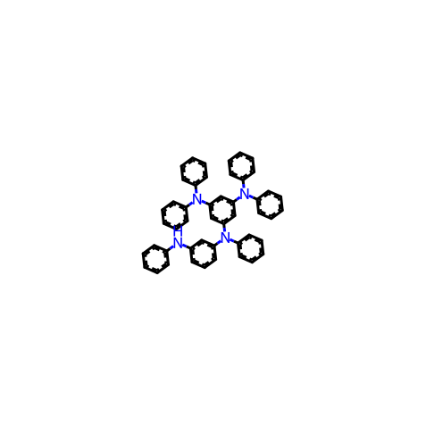 c1ccc(Nc2cccc(N(c3ccccc3)c3cc(N(c4ccccc4)c4ccccc4)cc(N(c4ccccc4)c4ccccc4)c3)c2)cc1